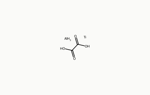 O=C(O)C(=O)O.[AlH3].[Ti]